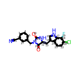 N#Cc1cccc(CN2C(=O)N/C(=C\c3c[nH]c4c(F)c(Cl)ccc34)C2=O)c1